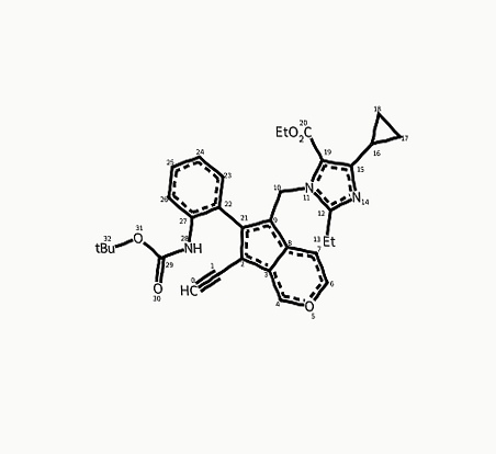 C#Cc1c2coccc-2c(Cn2c(CC)nc(C3CC3)c2C(=O)OCC)c1-c1ccccc1NC(=O)OC(C)(C)C